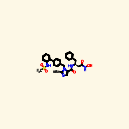 CCCCc1ncc(C(=O)N[C@@H](CC(=O)NO)Cc2ccccc2)n1Cc1ccc(-c2ccccc2NS(=O)(=O)C(F)(F)F)cc1